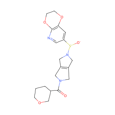 O=C(C1CCCOC1)N1CC2=C(C1)CN([S+]([O-])c1cnc3c(c1)OCCO3)C2